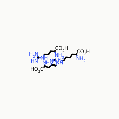 N=C(N)NCCCC(N)C(=O)O.NC(Cc1c[nH]cn1)C(=O)O.NCCCCC(N)C(=O)O